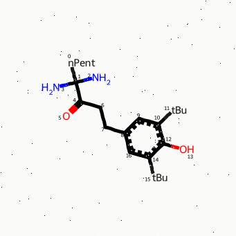 CCCCCC(N)(N)C(=O)CCc1cc(C(C)(C)C)c(O)c(C(C)(C)C)c1